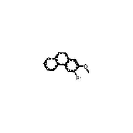 COc1cc2ccc3ccccc3c2cc1Br